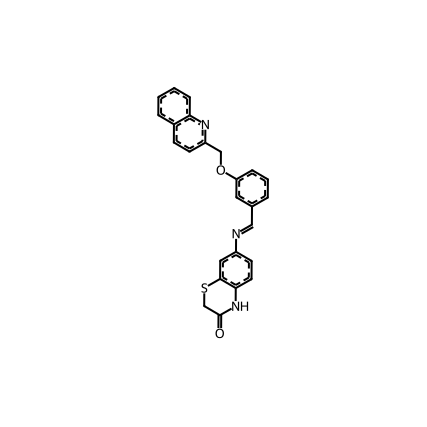 O=C1CSc2cc(N=Cc3cccc(OCc4ccc5ccccc5n4)c3)ccc2N1